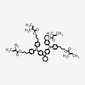 C/C=C(\C)C(=O)OCCCc1ccc(N(c2ccc(CCCOC(=O)/C(C)=C/C)cc2)c2ccc(C3(c4ccc(N(c5ccc(CCCOC(=O)/C(C)=C/C)cc5)c5ccc(CCCOC(=O)/C(C)=C/C)cc5)cc4)CCCCC3)cc2)cc1